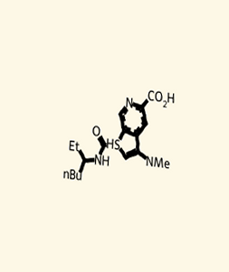 CCCCC(CC)NC(=O)[SH]1C=C(NC)c2cc(C(=O)O)ncc21